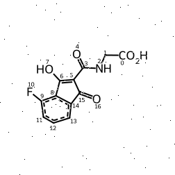 O=C(O)CNC(=O)C1=C(O)c2c(F)cccc2C1=O